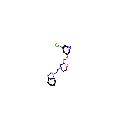 Clc1cncc(OCC2CN(CCN3CCc4ccccc43)CCO2)c1